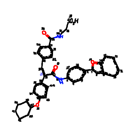 O=C(Nc1ccc(-c2cc3ccccc3o2)cc1)/C(=C\c1ccc(C(=O)NCCS(=O)(=O)O)cc1)c1ccc(OC2CCCCC2)cc1